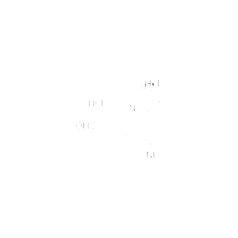 Cc1ccccc1CN1CCC(CCCC=O)C(C2=CC3C=CNCCC3C=C2)C1.Cl.Cl.Cl